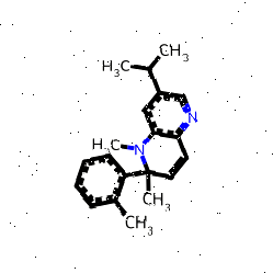 Cc1ccccc1C1(C)C=Cc2ncc(C(C)C)cc2N1C